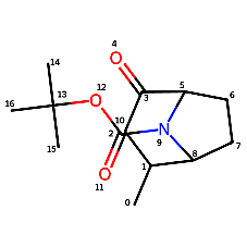 CC1CC(=O)C2CCC1N2C(=O)OC(C)(C)C